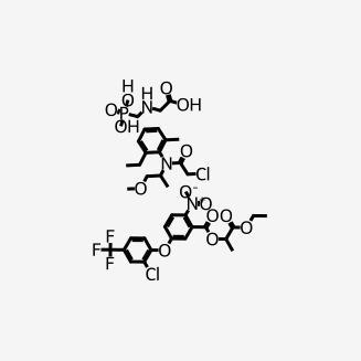 CCOC(=O)C(C)OC(=O)c1cc(Oc2ccc(C(F)(F)F)cc2Cl)ccc1[N+](=O)[O-].CCc1cccc(C)c1N(C(=O)CCl)C(C)COC.O=C(O)CNCP(=O)(O)O